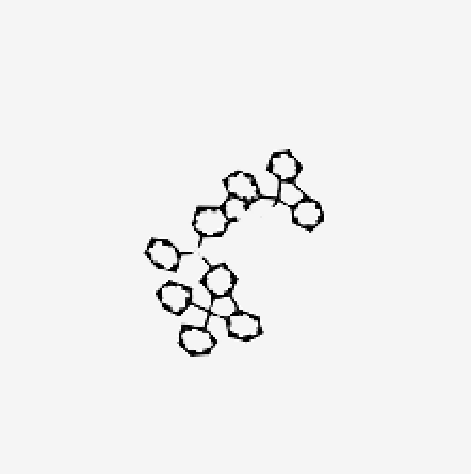 CC1(c2cccc3c2oc2cc(N(c4ccccc4)c4ccc5c(c4)C(c4ccccc4)(c4ccccc4)c4ccccc4-5)ccc23)c2ccccc2-c2ccccc21